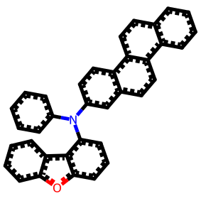 c1ccc(N(c2ccc3c(ccc4c5ccccc5ccc34)c2)c2cccc3oc4ccccc4c23)cc1